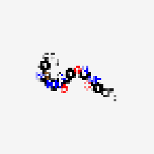 Cn1c(C(=O)N2CCN(Cc3cnc(-c4ccc(C(F)(F)F)cc4)s3)CC2)cc2cc(Oc3ccc(NC(=O)c4ccc(C(F)(F)F)cc4)cn3)ccc21